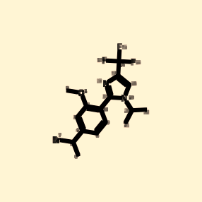 COc1cc(C(C)Br)ccc1-c1nc(C(F)(F)F)cn1C(C)C